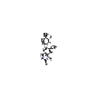 Bc1ccc(-c2cc(/N=C\C=C)c(C=C)cc2O)nn1